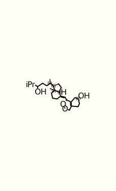 CC(C)C(O)CC[C@@H](C)[C@H]1CC[C@H]2C(=CC3OOCC4=C3C[C@H](O)CC4)CCC[C@]12C